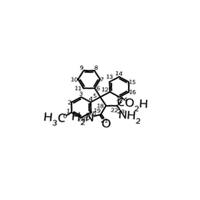 Cc1ccc(C(c2ccccc2)(c2ccccc2)C(C(N)=O)[C@H](N)C(=O)O)cc1